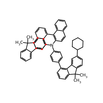 CC1(C)c2ccccc2-c2cc(N(c3ccc(-c4cccc5c4-c4cc(C6CCCCC6)ccc4C5(C)C)cc3)c3ccc4ccccc4c3-c3cccc4ccccc34)ccc21